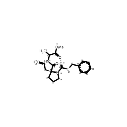 C=CC[C@]1(C(=O)NC(C)C(=O)OC)CCCN1C(=O)OCc1ccccc1